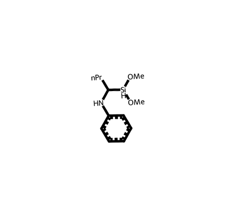 CCCC(Nc1ccccc1)[SiH](OC)OC